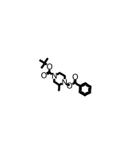 CC1CN(C(=O)OC(C)(C)C)CCN1OC(=O)c1ccccc1